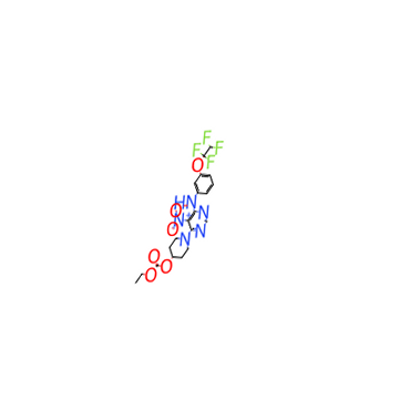 CCOC(=O)OC1CCN(c2ncnc(Nc3cccc(OC(F)(F)C(F)F)c3)c2[N+](=O)[O-])CC1